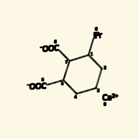 CC(C)C1CCCC(C(=O)[O-])C1C(=O)[O-].[Ca+2]